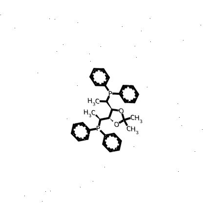 CC([C@H]1OC(C)(C)O[C@@H]1[C@H](C)P(c1ccccc1)c1ccccc1)P(c1ccccc1)c1ccccc1